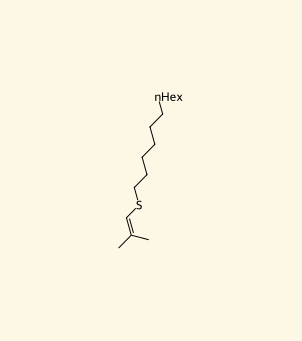 CCCCCCCCCCCCSC=C(C)C